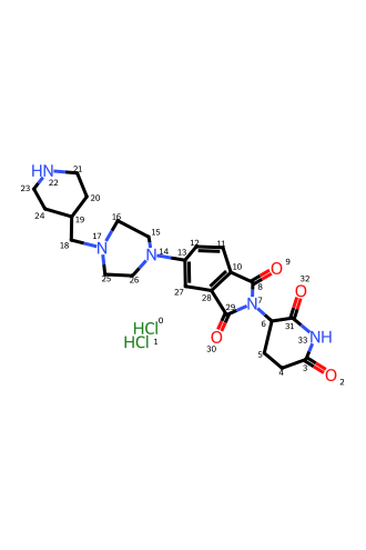 Cl.Cl.O=C1CCC(N2C(=O)c3ccc(N4CCN(CC5CCNCC5)CC4)cc3C2=O)C(=O)N1